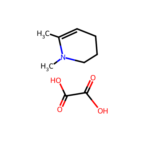 CC1=CCCCN1C.O=C(O)C(=O)O